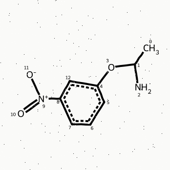 CC(N)Oc1cccc([N+](=O)[O-])c1